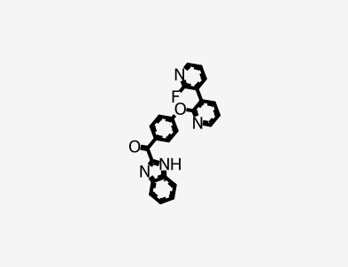 O=C(c1ccc(Oc2ncccc2-c2cccnc2F)cc1)c1nc2ccccc2[nH]1